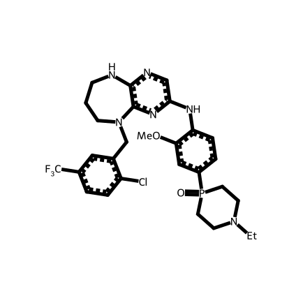 CCN1CCP(=O)(c2ccc(Nc3cnc4c(n3)N(Cc3cc(C(F)(F)F)ccc3Cl)CCCN4)c(OC)c2)CC1